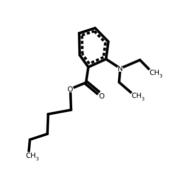 CCCCCOC(=O)c1ccccc1N(CC)CC